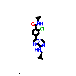 O=C(NC1CC1)c1ccc(-c2cnc3c(NCC4CC4)nccn23)cc1Cl